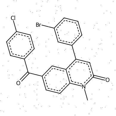 Cn1c(=O)cc(-c2cccc(Br)c2)c2cc(C(=O)c3ccc(Cl)cc3)ccc21